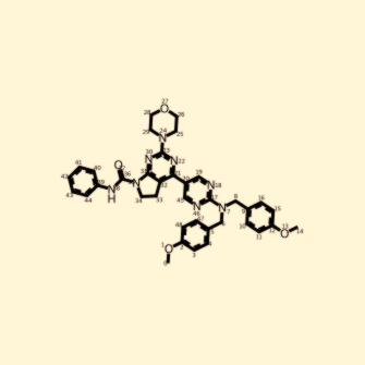 COc1ccc(CN(Cc2ccc(OC)cc2)c2ncc(-c3nc(N4CCOCC4)nc4c3CCN4C(=O)Nc3ccccc3)cn2)cc1